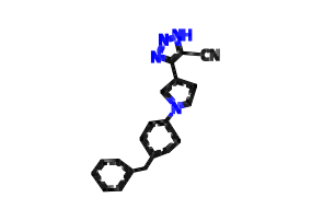 N#Cc1[nH]nnc1-c1ccn(-c2ccc(Cc3ccccc3)cc2)c1